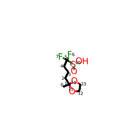 CC1(CCCC(F)(F)S(=O)O)OCCO1